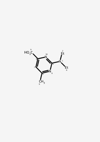 CCN(CC)c1nc(C)cc(C(=O)O)n1